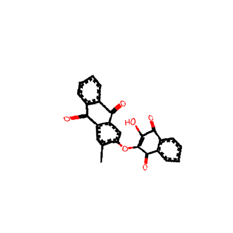 Cc1cc2c(cc1OC1=C(O)C(=O)c3ccccc3C1=O)C(=O)c1ccccc1C2=O